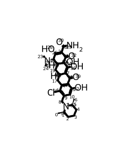 C[C@@H]1CCC[C@H](C)N1Cc1cc(O)c2c(c1Cl)C[C@H]1C[C@H]3[C@H](N(C)C)C(O)=C(C(N)=O)C(=O)[C@@]3(O)C(O)=C1C2=O